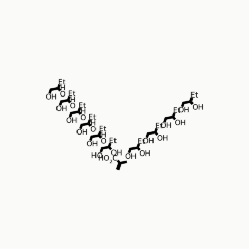 C=C(C)C(=O)O.CCC(O)CO.CCC(O)CO.CCC(O)CO.CCC(O)CO.CCC(O)CO.CCC(O)CO.CCC(O)CO.CCC(O)CO.CCC(O)CO.CCC(O)CO